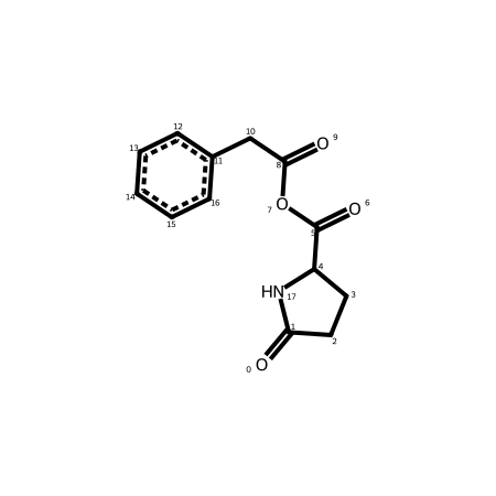 O=C1CCC(C(=O)OC(=O)Cc2ccccc2)N1